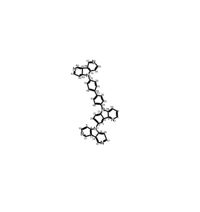 c1cnc2c3cc(-n4c5ccncc5c5cnccc54)ccc3n(-c3ccc(-c4ccc(-n5c6ccncc6c6cnccc65)cc4)cc3)c2c1